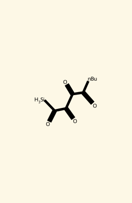 CCCCC(=O)C(=O)C(=O)C(=O)[SiH3]